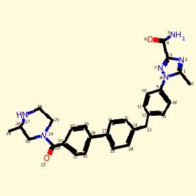 Cc1nc(C(N)=O)nn1-c1ccc(Cc2ccc(-c3ccc(C(=O)N4CCNC(C)C4)cc3)cc2)cc1